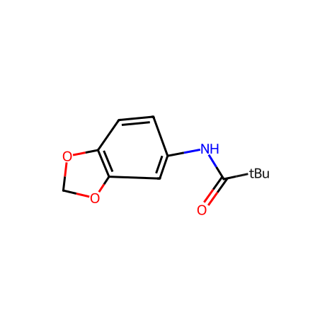 CC(C)(C)C(=O)Nc1ccc2c(c1)OCO2